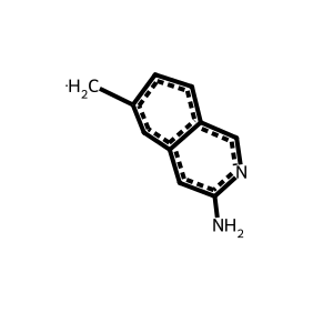 [CH2]c1ccc2cnc(N)cc2c1